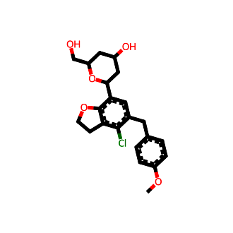 COc1ccc(Cc2cc(C3CC(O)CC(CO)O3)c3c(c2Cl)CCO3)cc1